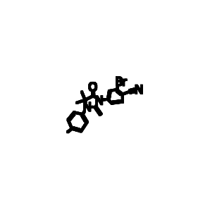 C=C1N(c2ccc(C#N)c(Br)c2)C(=O)C(C)(C)N1c1ccc(C)cc1